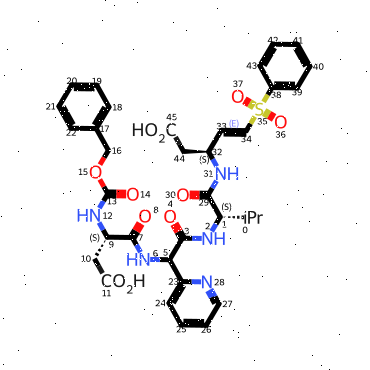 CC(C)[C@H](NC(=O)C(NC(=O)[C@H](CC(=O)O)NC(=O)OCc1ccccc1)c1ccccn1)C(=O)N[C@H](/C=C/S(=O)(=O)c1ccccc1)CC(=O)O